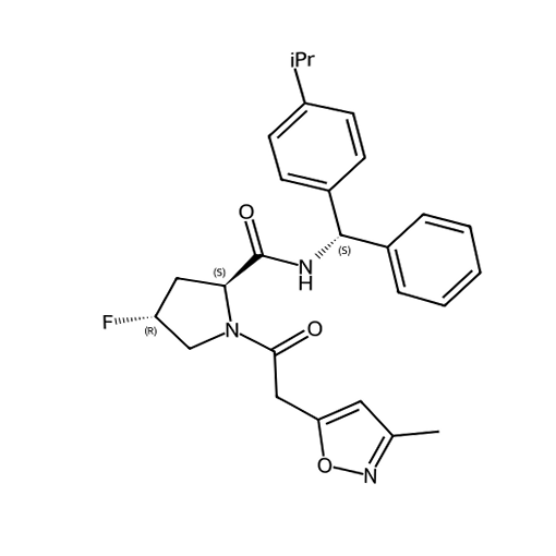 Cc1cc(CC(=O)N2C[C@H](F)C[C@H]2C(=O)N[C@@H](c2ccccc2)c2ccc(C(C)C)cc2)on1